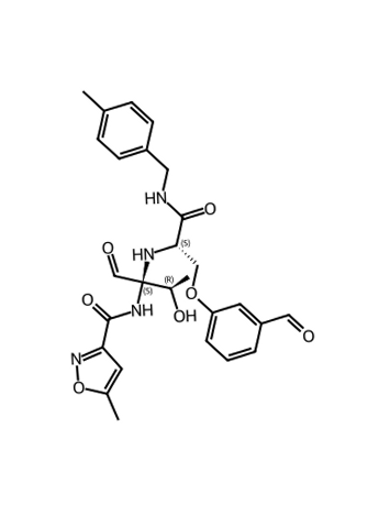 Cc1ccc(CNC(=O)[C@H](COc2cccc(C=O)c2)N[C@](C=O)(NC(=O)c2cc(C)on2)[C@@H](C)O)cc1